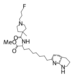 COC(=O)C(CCCCCCCc1ccc2c(n1)NCCC2)NC(=O)C1(C)CCN(CCCF)CC1